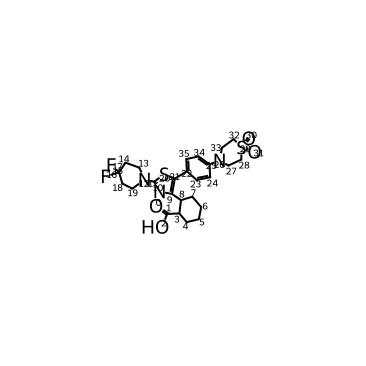 O=C(O)C1CCCCC1c1nc(N2CCC(F)(F)CC2)sc1-c1ccc(N2CCS(=O)(=O)CC2)cc1